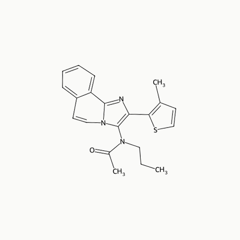 CCCN(C(C)=O)c1c(-c2sccc2C)nc2c3ccccc3ccn12